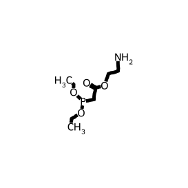 CCOP(CC(=O)OCCN)OCC